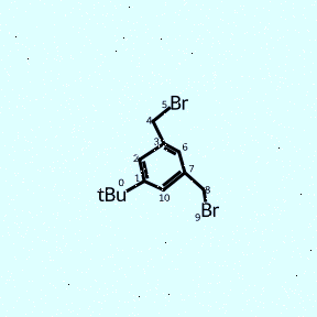 CC(C)(C)c1cc(CBr)cc(CBr)c1